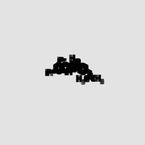 CC(C)c1cc(C(C)C)c(CC(=O)NS(=O)(=O)c2ccc(CN(C)C)cc2)c(C(C)C)c1